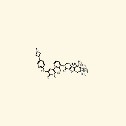 BC1(B)Cc2sc3c(c2C(B)(B)C1(B)B)CCN(c1cccc(-c2cc(Nc4ccc(C5CN(C)C5)cn4)c(=O)n(C)c2)c1CO)C3=O